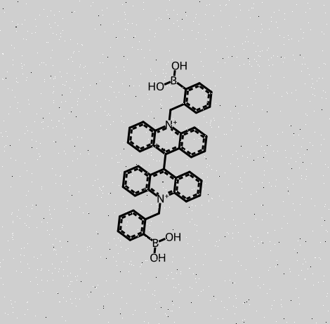 OB(O)c1ccccc1C[n+]1c2ccccc2c(-c2c3ccccc3[n+](Cc3ccccc3B(O)O)c3ccccc23)c2ccccc21